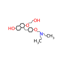 CCCN(CCC)CCOc1ccc(Cc2c(OCCCO)ccc3cc(O)ccc23)cc1